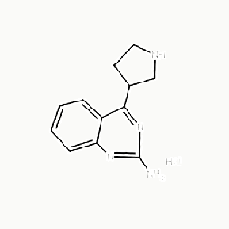 Cl.Nc1nc(C2CCNC2)c2ccccc2n1